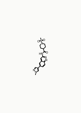 Cn1cc(-c2ccc3nnc(NC(=O)C4CCN(S(C)(=O)=O)CC4)cc3c2)cn1